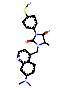 CC1C(=O)N(c2ccc(SC(F)(F)F)cc2)C(=O)N1Cc1ccnc2cc(N(C)C)ccc12